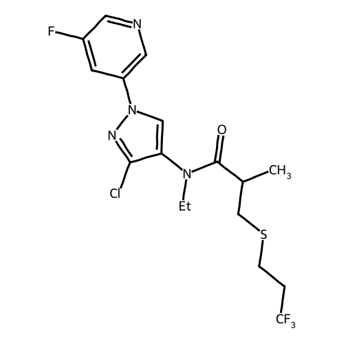 CCN(C(=O)C(C)CSCCC(F)(F)F)c1cn(-c2cncc(F)c2)nc1Cl